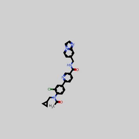 CC(=O)N(CC1CC1)c1ccc(-c2ccc(C(=O)NCc3ccn4ccnc4c3)cn2)cc1Cl